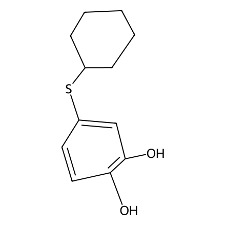 Oc1ccc(SC2CCCCC2)cc1O